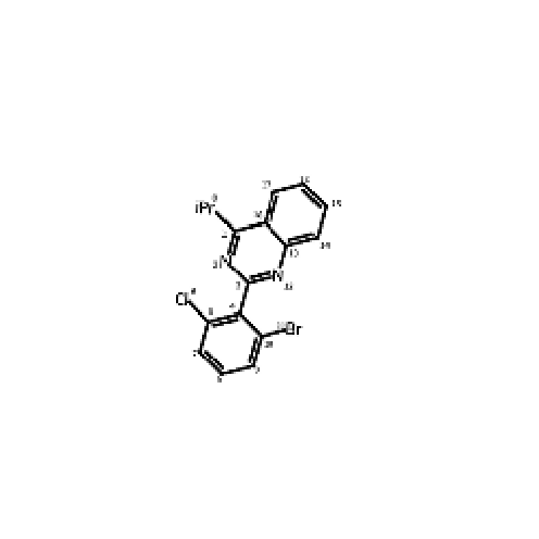 CC(C)c1nc(-c2c(Cl)cccc2Br)nc2ccccc12